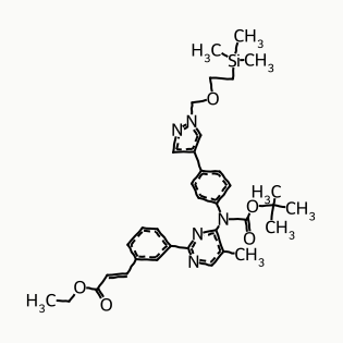 CCOC(=O)/C=C/c1cccc(-c2ncc(C)c(N(C(=O)OC(C)(C)C)c3ccc(-c4cnn(COCC[Si](C)(C)C)c4)cc3)n2)c1